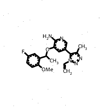 C=Cn1nnc(C)c1-c1cnc(N)c(OC(C)c2cc(F)ccc2OC)c1